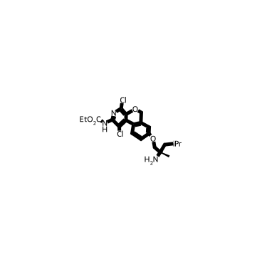 CCOC(=O)Nc1nc(Cl)c2c(c1Cl)-c1ccc(OC[C@@](C)(N)CC(C)C)cc1CO2